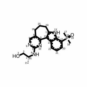 C[C@H](CO)Nc1ncc2c(n1)-c1c([nH]c3c(P(C)(C)=O)cccc13)CCC2